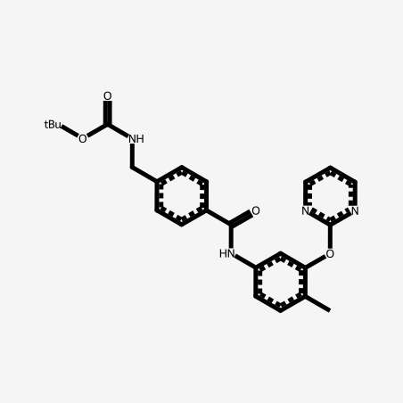 Cc1ccc(NC(=O)c2ccc(CNC(=O)OC(C)(C)C)cc2)cc1Oc1ncccn1